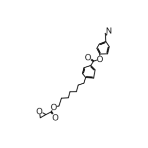 N#Cc1ccc(OC(=O)c2ccc(CCCCCCCOC(=O)C3CO3)cc2)cc1